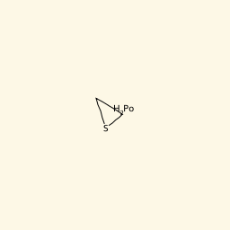 C1CS1.[PoH2]